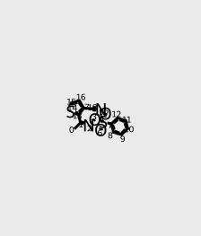 CC(=NOS(=O)(=O)c1ccccc1)c1sccc1C#N